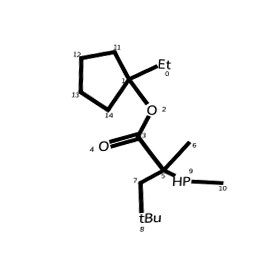 CCC1(OC(=O)C(C)(CC(C)(C)C)PC)CCCC1